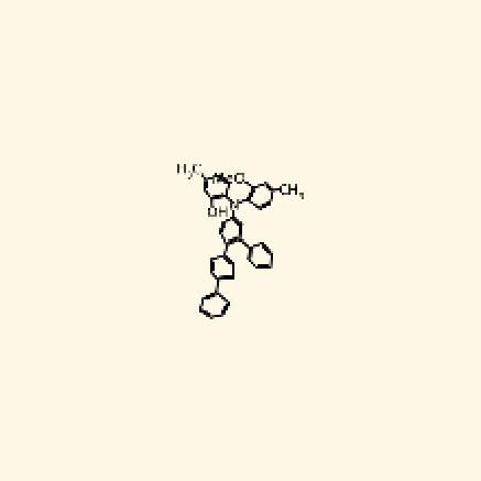 COc1cc(C)ccc1N(c1ccc(-c2ccc(-c3ccccc3)cc2)c(-c2ccccc2)c1)c1ccc(C)cc1O